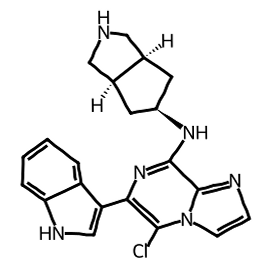 Clc1c(-c2c[nH]c3ccccc23)nc(N[C@H]2C[C@H]3CNC[C@H]3C2)c2nccn12